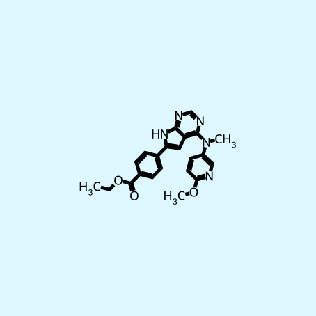 CCOC(=O)c1ccc(-c2cc3c(N(C)c4ccc(OC)nc4)ncnc3[nH]2)cc1